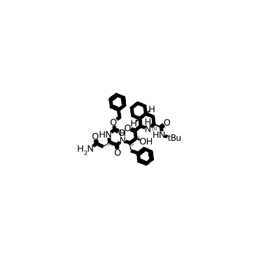 CC(C)(C)NC(=O)[C@@H]1C[C@@H]2CCCC[C@@H]2C(C(=O)[C@@H](O)[C@H](Cc2ccccc2)NC(=O)[C@H](CC(N)=O)NC(=O)OCc2ccccc2)N1